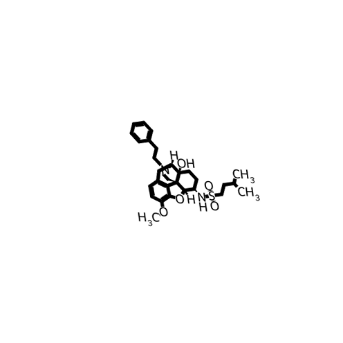 COc1ccc2c3c1O[C@H]1[C@@H](NS(=O)(=O)CCC(C)C)CC[C@@]4(O)[C@@H](C2)N(CCc2ccccc2)CC[C@]314